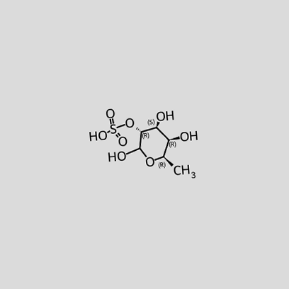 C[C@H]1OC(O)[C@H](OS(=O)(=O)O)[C@@H](O)[C@H]1O